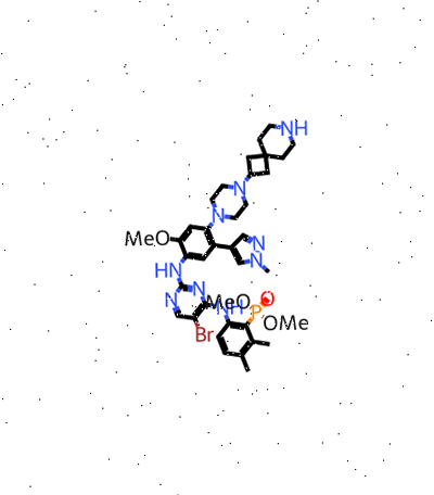 COc1cc(N2CCN(C3CC4(CCNCC4)C3)CC2)c(-c2cnn(C)c2)cc1Nc1ncc(Br)c(Nc2ccc(C)c(C)c2P(=O)(OC)OC)n1